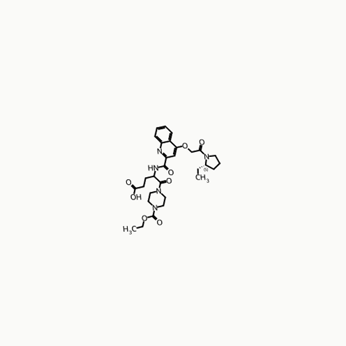 CCOC(=O)N1CCN(C(=O)C(CCC(=O)O)NC(=O)c2cc(OCC(=O)N3CCC[C@@H]3CC)c3ccccc3n2)CC1